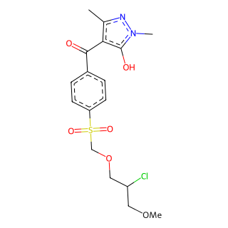 COCC(Cl)COCS(=O)(=O)c1ccc(C(=O)c2c(C)nn(C)c2O)cc1